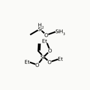 C=C[Si](OCC)(OCC)OCC.C[SiH2]O[SiH3]